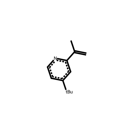 C=C(C)c1cc(C(C)(C)C)ccn1